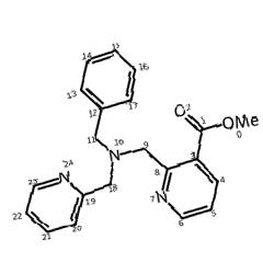 COC(=O)c1cccnc1CN(Cc1ccccc1)Cc1ccccn1